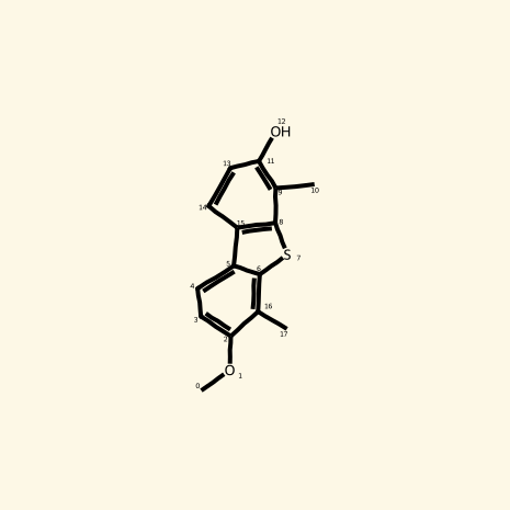 COc1ccc2c(sc3c(C)c(O)ccc32)c1C